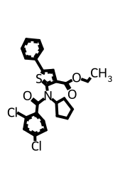 CCOC(=O)c1cc(-c2ccccc2)sc1N(C(=O)c1ccc(Cl)cc1Cl)C1CCCC1